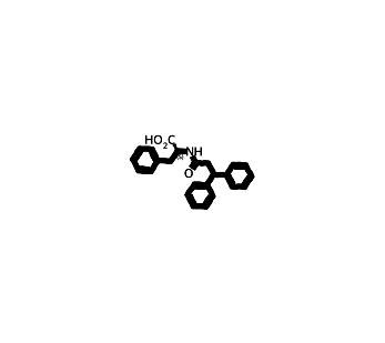 O=C(CC(c1ccccc1)c1ccccc1)N[C@@H](Cc1ccccc1)C(=O)O